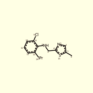 Cc1cnc(CNc2c(Cl)cccc2C(C)C)s1